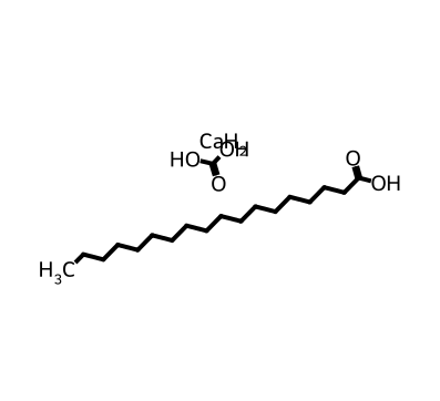 CCCCCCCCCCCCCCCCCC(=O)O.O=C(O)O.[CaH2]